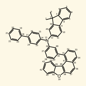 CC1(C)c2ccccc2-c2ccc(N(c3ccc(-c4ccccc4)cc3)c3cccc(-c4cccc5ccc6oc7ccccc7c6c45)c3)cc21